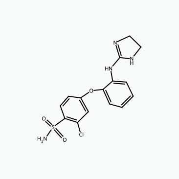 NS(=O)(=O)c1ccc(Oc2ccccc2NC2=NCCN2)cc1Cl